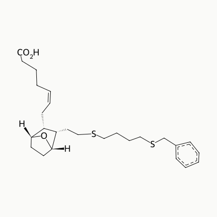 O=C(O)CCC/C=C\C[C@@H]1[C@H](CCSCCCCSCc2ccccc2)[C@@H]2CC[C@H]1O2